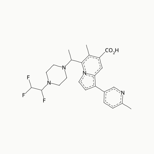 Cc1ccc(-c2ccn3c(C(C)N4CCN(C(F)C(F)F)CC4)c(C)c(C(=O)O)cc23)cn1